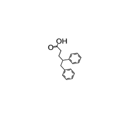 O=C(O)CCC(Cc1ccccc1)c1ccccc1